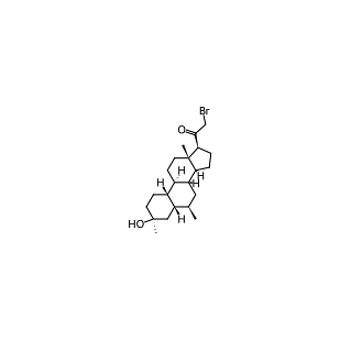 C[C@@H]1C[C@@H]2[C@H](CC[C@]3(C)[C@@H](C(=O)CBr)CC[C@@H]23)[C@H]2CC[C@](C)(O)C[C@H]21